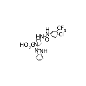 O=C(Nc1ccc(Cl)c(C(F)(F)F)c1)N[C@@H]1C[C@@H](c2nc3ccccc3[nH]2)N(C(=O)O)C1